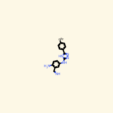 CCCc1ccc(-c2nnc(Nc3ccc(N)c(C=N)c3)[nH]2)cc1